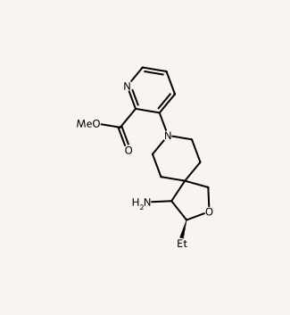 CC[C@@H]1OCC2(CCN(c3cccnc3C(=O)OC)CC2)C1N